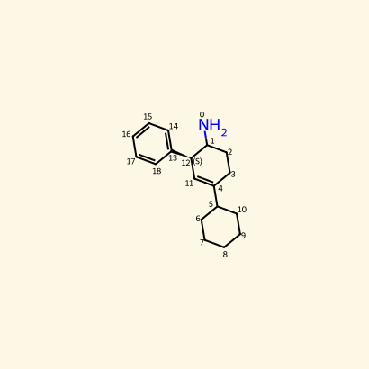 NC1CCC(C2CCCCC2)=C[C@H]1c1ccccc1